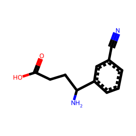 N#Cc1cccc(C(N)CCC(=O)O)c1